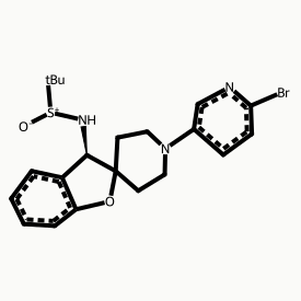 CC(C)(C)[S+]([O-])N[C@@H]1c2ccccc2OC12CCN(c1ccc(Br)nc1)CC2